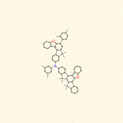 Cc1cc(C)cc(N(c2ccc3c(c2)C(C)(C)c2cc(-c4ccc(C)cc4C)c4oc5ccccc5c4c2-3)c2ccc3c(c2)C(C)(C)c2c4c(c5oc6ccccc6c5c2-3)-c2ccccc2C4(C)C)c1